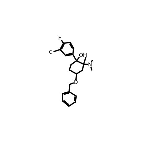 CN(C)C1(C)CC(OCc2ccccc2)CCC1(O)c1ccc(F)c(Cl)c1